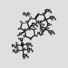 C[C@H](/C=C/[C@@H](C)C(C)(C)O[Si](C)(C)C)[C@H]1CC[C@H]2[C@@H](O[Si](C)(C)C(C)(C)C)CCC[C@@]12C